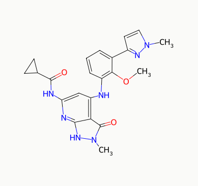 COc1c(Nc2cc(NC(=O)C3CC3)nc3[nH]n(C)c(=O)c23)cccc1-c1ccn(C)n1